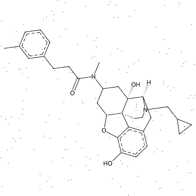 Cc1cccc(CCC(=O)N(C)C2CC3Oc4c(O)ccc5c4[C@@]34CCN(CC3CC3)[C@H](C5)[C@]4(O)C2)c1